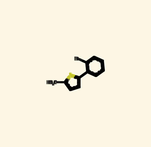 CCc1ccccc1-c1ccc(C(=O)O)s1